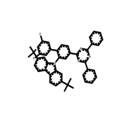 CC(C)(C)c1ccc2c3ccc(C(C)(C)C)cc3n(-c3cc(-c4nc(-c5ccccc5)nc(-c5ccccc5)n4)ccc3-c3cc(F)cc(F)c3)c2c1